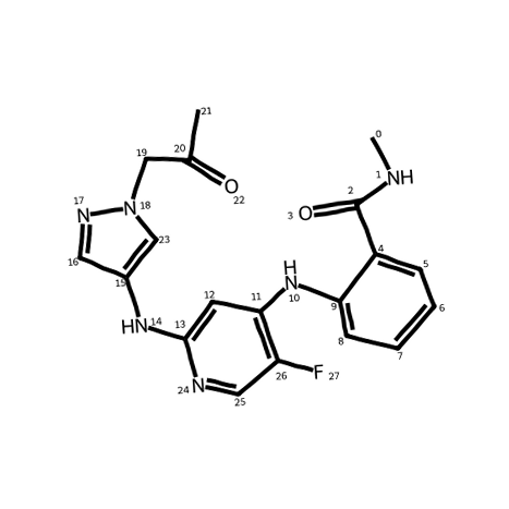 CNC(=O)c1ccccc1Nc1cc(Nc2cnn(CC(C)=O)c2)ncc1F